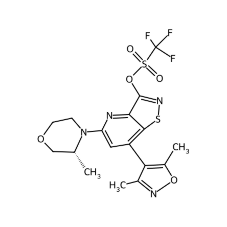 Cc1noc(C)c1-c1cc(N2CCOC[C@H]2C)nc2c(OS(=O)(=O)C(F)(F)F)nsc12